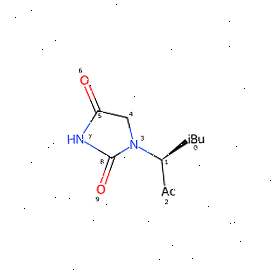 CCC(C)[C@@H](C(C)=O)N1CC(=O)NC1=O